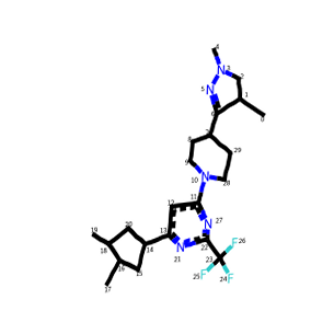 CC1CN(C)N=C1C1CCN(c2cc(C3CC(C)C(C)C3)nc(C(F)(F)F)n2)CC1